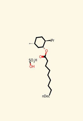 CCCCCCCCCCCCCCCCCC(=O)O[C@@H]1C[C@H](C)CC[C@H]1C(C)C.O=S(=O)(O)O